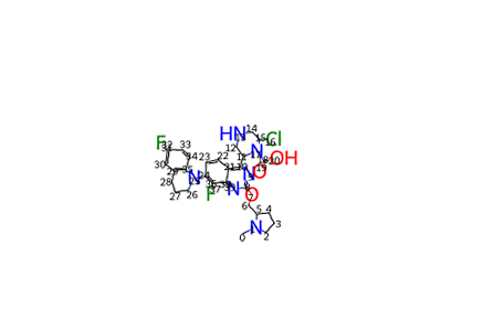 CN1CCCC1COc1nc(C2CNCC(Cl)N2C(=O)O)c2ccc(N3CCCc4cc(F)ccc43)c(F)c2n1